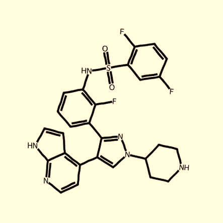 O=S(=O)(Nc1cccc(-c2nn(C3CCNCC3)cc2-c2ccnc3[nH]ccc23)c1F)c1cc(F)ccc1F